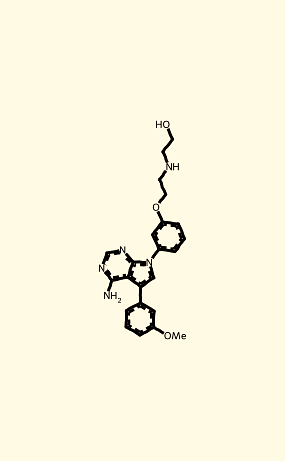 COc1cccc(-c2cn(-c3cccc(OCCNCCO)c3)c3ncnc(N)c23)c1